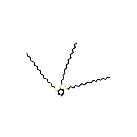 CCCCCCCCCCCCCCCCCSc1c[c]cc(SCCCCCCCCCCCCCCCCC)c1SCCCCCCCCCCCCCCCCC